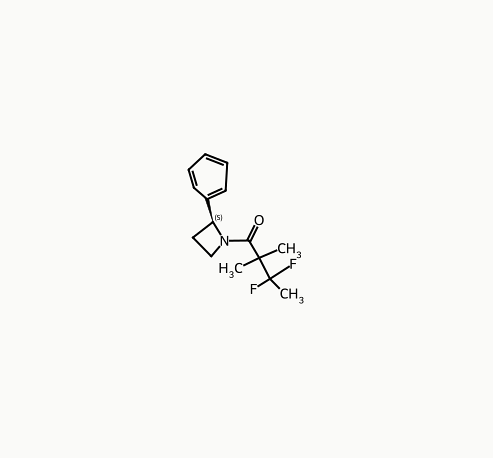 CC(F)(F)C(C)(C)C(=O)N1CC[C@H]1c1ccccc1